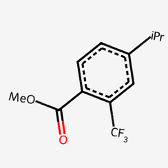 COC(=O)c1ccc(C(C)C)cc1C(F)(F)F